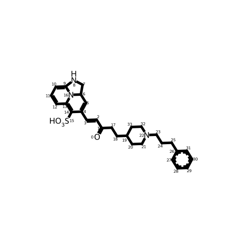 O=C(/C=C/C1=CC2CNC3=CC=CC(=C1S(=O)(=O)O)N32)CCC1CCN(CCCc2ccccc2)CC1